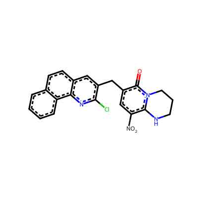 O=c1c(Cc2cc3ccc4ccccc4c3nc2Cl)cc([N+](=O)[O-])c2n1CCCN2